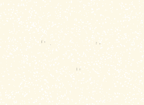 CCOC(=O)CC1CCNCC1CC